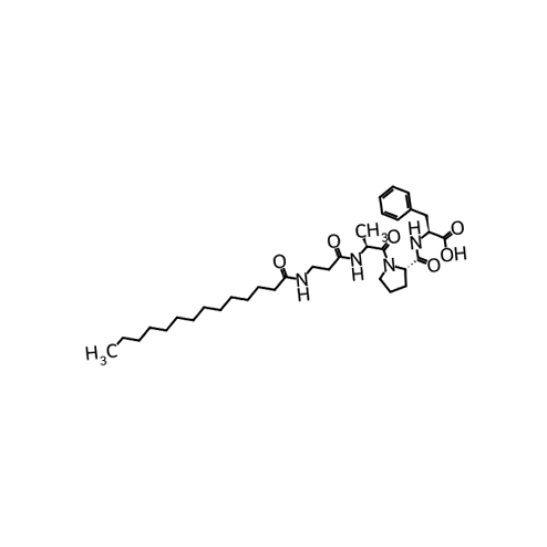 CCCCCCCCCCCCCC(=O)NCCC(=O)N[C@@H](C)C(=O)N1CCC[C@H]1C(=O)N[C@@H](Cc1ccccc1)C(=O)O